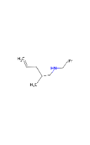 C=CCC(C)CNCC(C)C